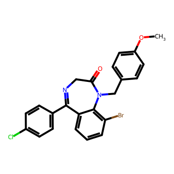 COc1ccc(CN2C(=O)CN=C(c3ccc(Cl)cc3)c3cccc(Br)c32)cc1